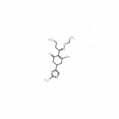 CCC/C(=N\OCC)C1=C(O)CC(c2cnc(C)s2)CC1=O